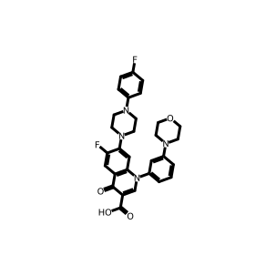 O=C(O)c1cn(-c2cccc(N3CCOCC3)c2)c2cc(N3CCN(c4ccc(F)cc4)CC3)c(F)cc2c1=O